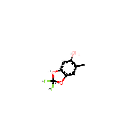 Bc1cc2c(cc1C)OC(F)(F)O2